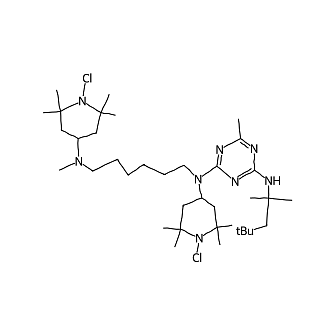 Cc1nc(NC(C)(C)CC(C)(C)C)nc(N(CCCCCCN(C)C2CC(C)(C)N(Cl)C(C)(C)C2)C2CC(C)(C)N(Cl)C(C)(C)C2)n1